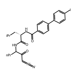 CCCC(NC(=O)[C@H](CC(C)C)NC(=O)c1ccc(-c2ccc(I)cc2)cc1)C(=O)C=[N+]=[N-]